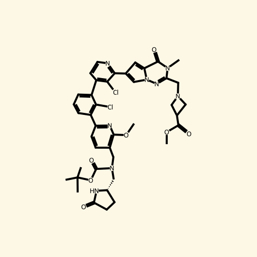 COC(=O)C1CN(Cc2nn3cc(-c4nccc(-c5cccc(-c6ccc(CN(C[C@@H]7CCC(=O)N7)C(=O)OC(C)(C)C)c(OC)n6)c5Cl)c4Cl)cc3c(=O)n2C)C1